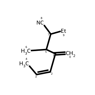 C=C(/C=C\C)C(C)C(C#N)CC